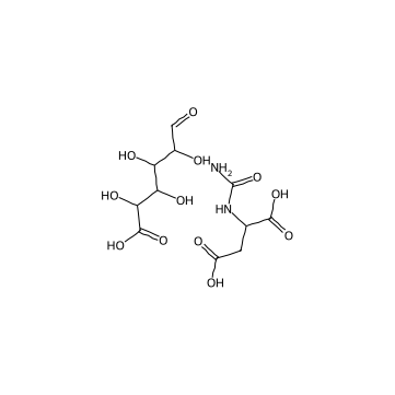 NC(=O)NC(CC(=O)O)C(=O)O.O=CC(O)C(O)C(O)C(O)C(=O)O